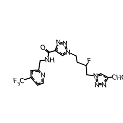 O=Cc1cn(CC(F)CCn2cc(C(=O)NCc3cc(C(F)(F)F)ccn3)nn2)nn1